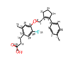 Cc1ccc(C2=C(COc3cc(C)c(CCC(=O)O)cc3F)CCC2)cc1